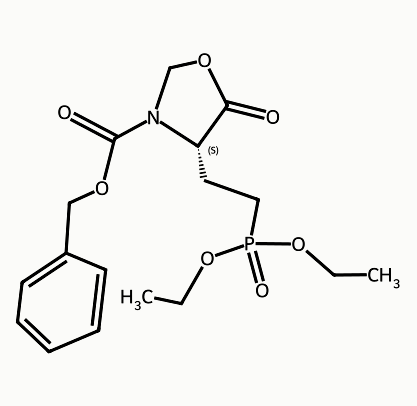 CCOP(=O)(CC[C@H]1C(=O)OCN1C(=O)OCc1ccccc1)OCC